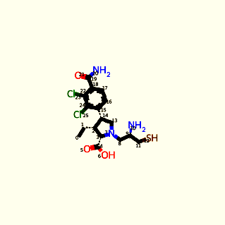 CC[C@H]1[C@@H](C(=O)O)N(C[C@@H](N)CS)C[C@H]1c1ccc(C(N)=O)c(Cl)c1Cl